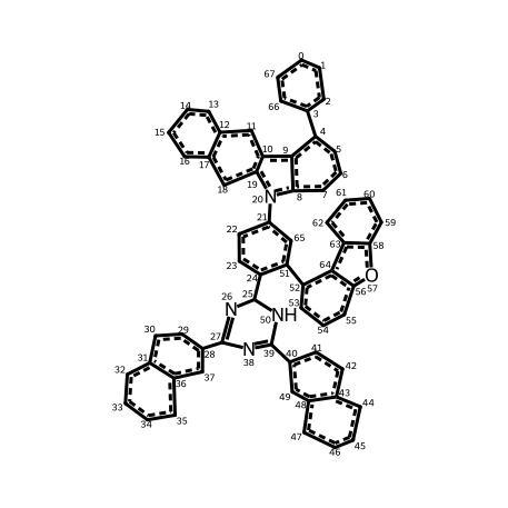 c1ccc(-c2cccc3c2c2cc4ccccc4cc2n3-c2ccc(C3N=C(c4ccc5ccccc5c4)N=C(c4ccc5ccccc5c4)N3)c(-c3cccc4oc5ccccc5c34)c2)cc1